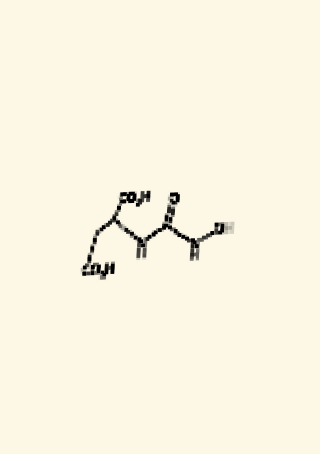 O=C(O)CC(NC(=O)NO)C(=O)O